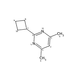 Cc1cc(C)nc(C2CCC2)n1